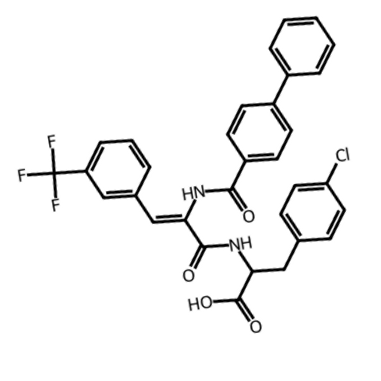 O=C(NC(Cc1ccc(Cl)cc1)C(=O)O)C(=Cc1cccc(C(F)(F)F)c1)NC(=O)c1ccc(-c2ccccc2)cc1